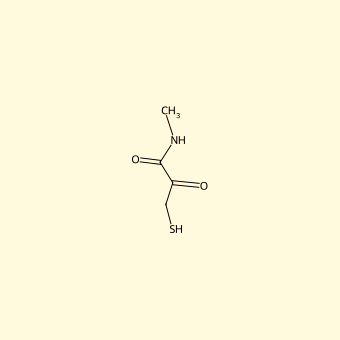 CNC(=O)C(=O)CS